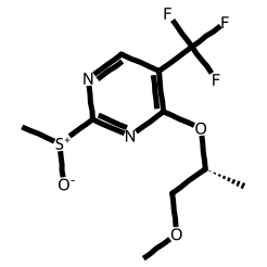 COC[C@@H](C)Oc1nc([S+](C)[O-])ncc1C(F)(F)F